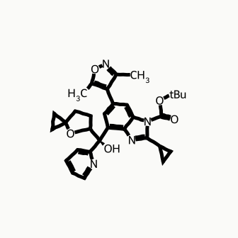 Cc1noc(C)c1-c1cc([C@](O)(c2ccccn2)C2CCC3(CC3)O2)c2nc(C3CC3)n(C(=O)OC(C)(C)C)c2c1